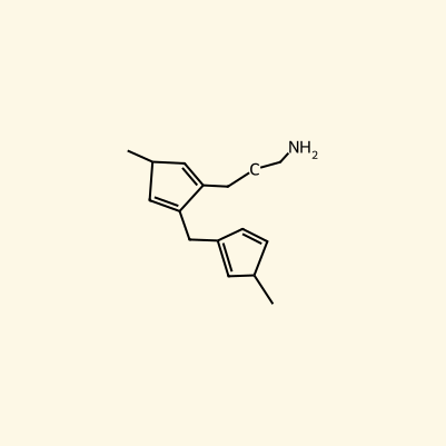 CC1C=CC(CC2=CC(C)C=C2CCCN)=C1